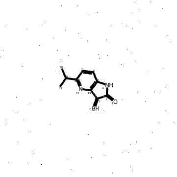 B=C1C(=O)Nc2ccc(C(C)C)nc21